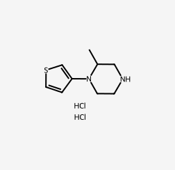 CC1CNCCN1c1ccsc1.Cl.Cl